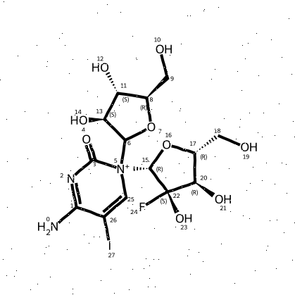 NC1=NC(=O)[N+](C2O[C@H](CO)[C@@H](O)[C@@H]2O)([C@@H]2O[C@H](CO)[C@@H](O)[C@]2(O)F)C=C1I